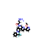 CCOc1ncccc1-c1ccc2c(n1)CN(C(=O)CCN)CC21CCN(c2ccccc2C(F)(F)F)CC1